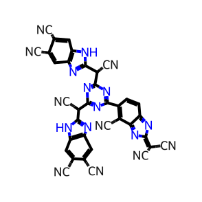 N#CC(C#N)=C1N=c2ccc(-c3nc(C(C#N)c4nc5cc(C#N)c(C#N)cc5[nH]4)nc(C(C#N)c4nc5cc(C#N)c(C#N)cc5[nH]4)n3)c(C#N)c2=N1